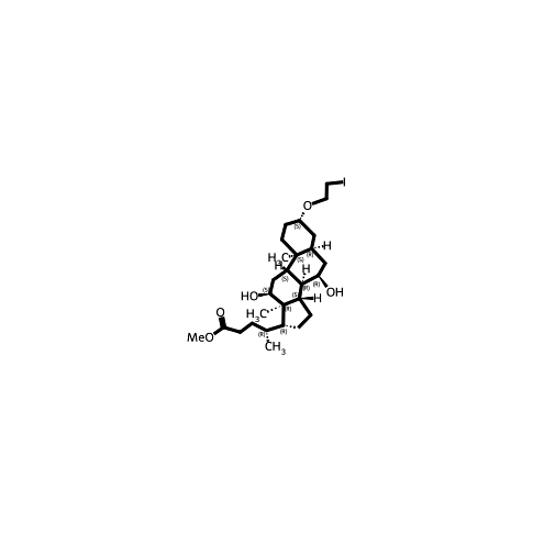 COC(=O)CC[C@@H](C)[C@H]1CC[C@H]2[C@@H]3[C@H](O)C[C@@H]4C[C@@H](OCCI)CC[C@]4(C)[C@H]3C[C@H](O)[C@]12C